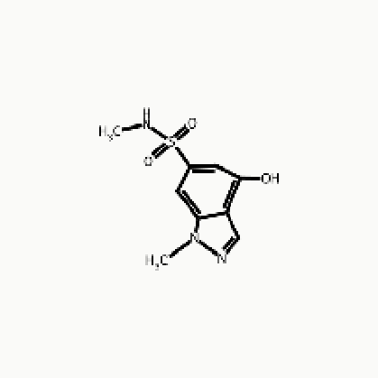 CNS(=O)(=O)c1cc(O)c2cnn(C)c2c1